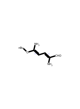 CCCCO/C(N)=C/C=C(\N)C=O